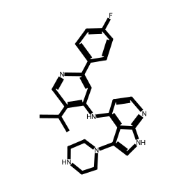 CC(C)c1cnc(-c2ccc(F)cc2)cc1Nc1ccnc2[nH]cc(N3CCNCC3)c12